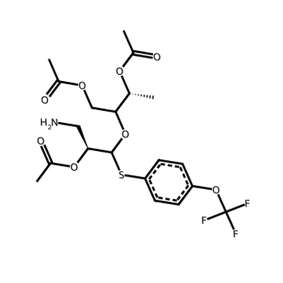 CC(=O)OCC(OC(Sc1ccc(OC(F)(F)F)cc1)[C@H](CN)OC(C)=O)[C@@H](C)OC(C)=O